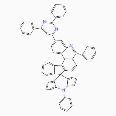 c1ccc(-c2cc(-c3ccc4c(c3)nc(-c3ccccc3)c3ccc5c(c34)-c3ccccc3C53c4ccccc4N(c4ccccc4)c4ccccc43)nc(-c3ccccc3)n2)cc1